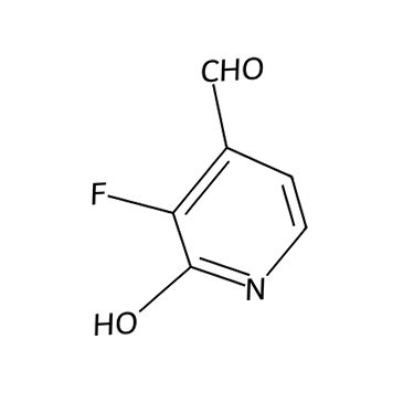 O=Cc1ccnc(O)c1F